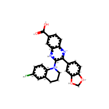 O=C(O)c1ccc2nc(-c3ccc4c(c3)OCO4)c(N3CCCc4cc(F)ccc43)nc2c1